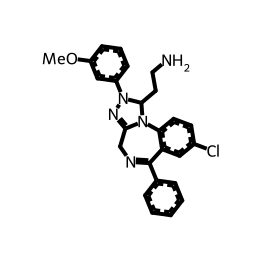 COc1cccc(N2N=C3CN=C(c4ccccc4)c4cc(Cl)ccc4N3C2CCN)c1